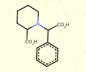 O=C(O)C1CCCCN1C(C(=O)O)c1ccccc1